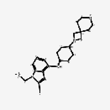 FC(F)(F)Cn1c(I)cc2c(NC3CCC(N4CC5(CCOCC5)C4)CC3)cccc21